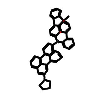 CC1(C)c2ccccc2-c2ccc(N(c3ccc(-c4cccc5cc(C6CCCC6)cc(-c6ccccc6)c45)cc3)c3ccccc3-c3ccccc3)cc21